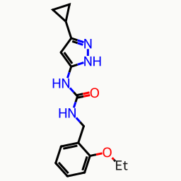 CCOc1ccccc1CNC(=O)Nc1cc(C2CC2)n[nH]1